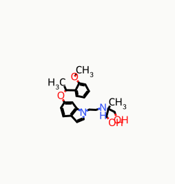 COc1ccccc1C(C)Oc1ccc2ccn(CCNC(C)(CO)CO)c2c1